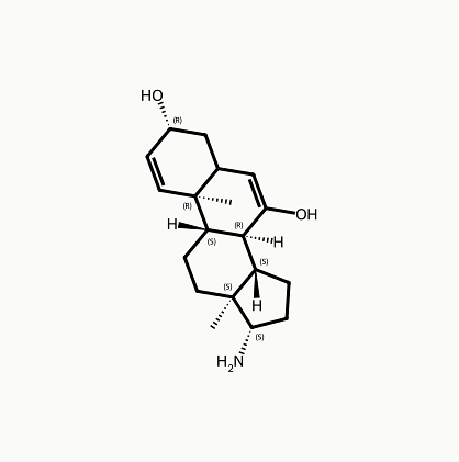 C[C@]12CC[C@H]3[C@@H](C(O)=CC4C[C@@H](O)C=C[C@@]43C)[C@@H]1CC[C@@H]2N